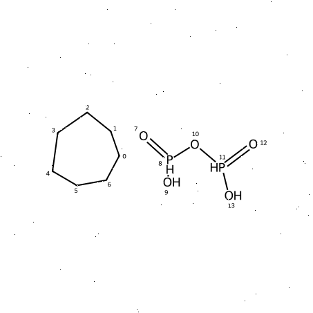 C1CCCCCC1.O=[PH](O)O[PH](=O)O